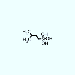 CC(C)CC[Si](O)(O)O